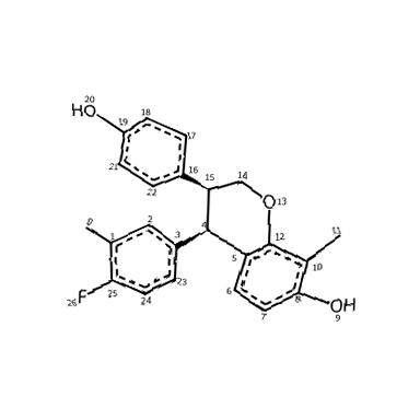 Cc1cc([C@@H]2c3ccc(O)c(C)c3OC[C@@H]2c2ccc(O)cc2)ccc1F